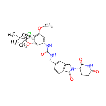 COc1cc(NC(=O)NCc2ccc3c(c2)CN(C2CCC(=O)NC2=O)C3=O)cc(O[Si](C)(C)C(C)(C)C)c1Cl